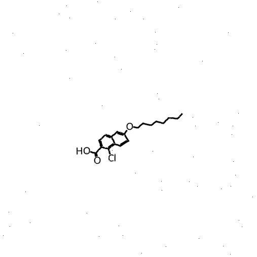 CCCCCCCCOc1ccc2c(Cl)c(C(=O)O)ccc2c1